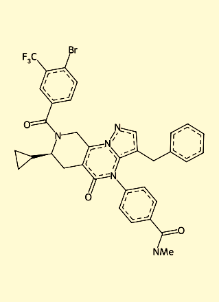 CNC(=O)c1ccc(-n2c(=O)c3c(n4ncc(Cc5ccccc5)c24)CN(C(=O)c2ccc(Br)c(C(F)(F)F)c2)[C@H](C2CC2)C3)cc1